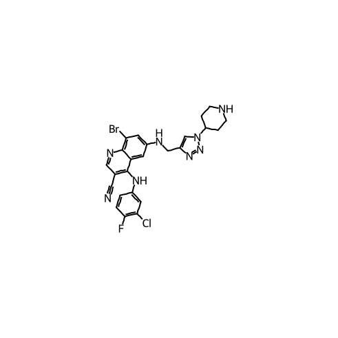 N#Cc1cnc2c(Br)cc(NCc3cn(C4CCNCC4)nn3)cc2c1Nc1ccc(F)c(Cl)c1